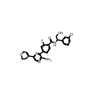 Nc1ncc(C2=CCOCC2)nc1-c1ccc(C(=O)NC(CO)c2cccc(Cl)c2)c(F)c1